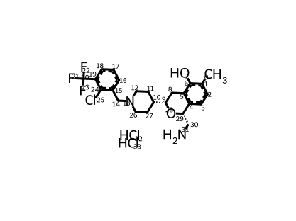 Cc1ccc2c(c1O)C[C@@H](C1CCN(Cc3cccc(C(F)(F)F)c3Cl)CC1)O[C@H]2CN.Cl.Cl